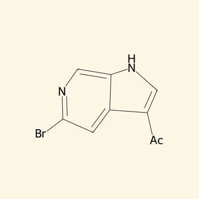 CC(=O)c1c[nH]c2cnc(Br)cc12